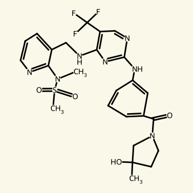 CN(c1ncccc1CNc1nc(Nc2cccc(C(=O)N3CCC(C)(O)C3)c2)ncc1C(F)(F)F)S(C)(=O)=O